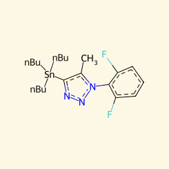 CCC[CH2][Sn]([CH2]CCC)([CH2]CCC)[c]1nnn(-c2c(F)cccc2F)c1C